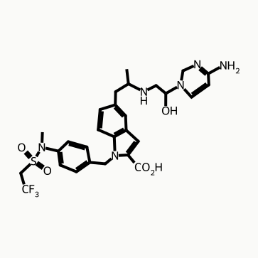 CC(Cc1ccc2c(c1)cc(C(=O)O)n2Cc1ccc(N(C)S(=O)(=O)CC(F)(F)F)cc1)NCC(O)N1C=CC(N)=NC1